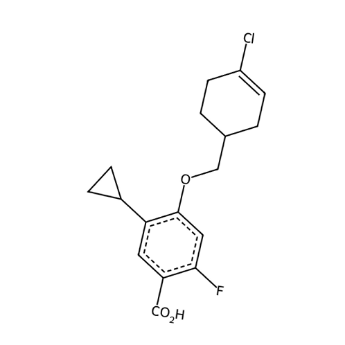 O=C(O)c1cc(C2CC2)c(OCC2CC=C(Cl)CC2)cc1F